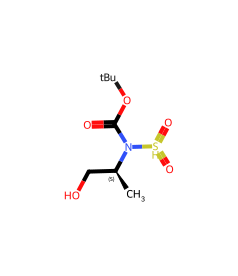 C[C@@H](CO)N(C(=O)OC(C)(C)C)[SH](=O)=O